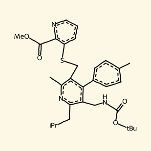 COC(=O)c1ncccc1SCc1c(C)nc(CC(C)C)c(CNC(=O)OC(C)(C)C)c1-c1ccc(C)cc1